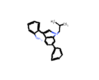 CC(C)Cn1cc(-c2ccccc2N)c2ccc(-c3ccccc3)cc21